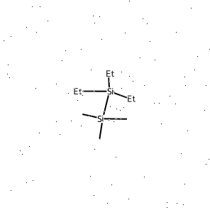 CC[Si](CC)(CC)[Si](C)(C)C